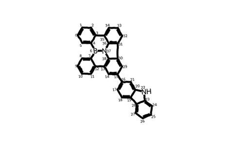 c1ccc2c(c1)B1c3ccccc3-c3cc(-c4ccc5c(c4)[nH]c4ccccc45)cc4c5cccc-2c5n1c34